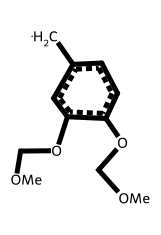 [CH2]c1ccc(OCOC)c(OCOC)c1